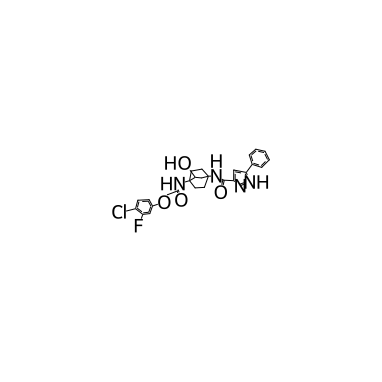 O=C(COc1ccc(Cl)c(F)c1)NC12CCC(NC(=O)c3cc(-c4ccccc4)[nH]n3)(CC1)CC2O